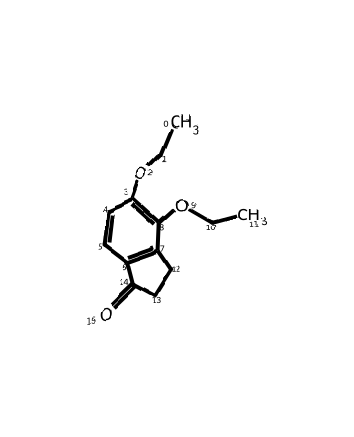 CCOc1ccc2c(c1OCC)CCC2=O